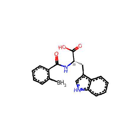 Bc1ccccc1C(=O)N[C@@H](Cc1c[nH]c2ccccc12)C(=O)O